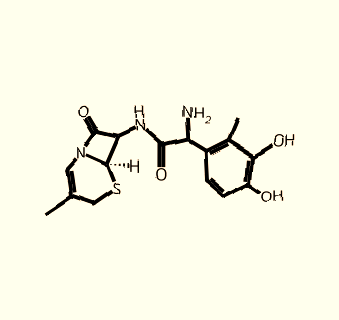 CC1=CN2C(=O)C(NC(=O)C(N)c3ccc(O)c(O)c3C)[C@H]2SC1